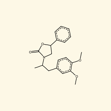 COc1ccc(CC(C)N2CC(c3ccccc3)OC2=O)cc1OC